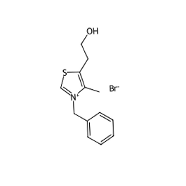 Cc1c(CCO)sc[n+]1Cc1ccccc1.[Br-]